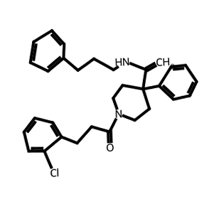 C=C(NCCCc1ccccc1)C1(c2ccccc2)CCN(C(=O)CCc2ccccc2Cl)CC1